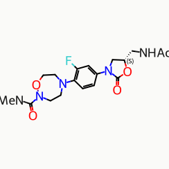 CNC(=O)N1CCN(c2ccc(N3C[C@H](CNC(C)=O)OC3=O)cc2F)CCO1